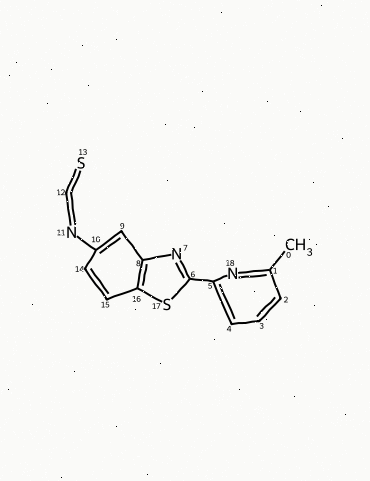 Cc1cccc(-c2nc3cc(N=C=S)ccc3s2)n1